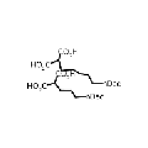 CCCCCCCCCCCCCC(C(=O)O)C(=O)O.CCCCCCCCCCCCCCCC(C(=O)O)C(=O)O